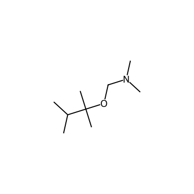 CC(C)C(C)(C)OCN(C)C